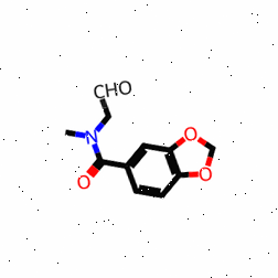 CN(CC=O)C(=O)c1ccc2c(c1)OCO2